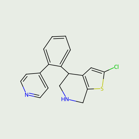 Clc1cc2c(s1)CNCC2c1ccccc1-c1ccncc1